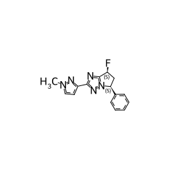 Cn1ccc(-c2nc3n(n2)[C@H](c2ccccc2)C[C@@H]3F)n1